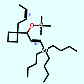 C/C=C\CC1(C(/C=[CH]/[Sn]([CH2]CCC)([CH2]CCC)[CH2]CCC)O[Si](C)(C)C)CCC1